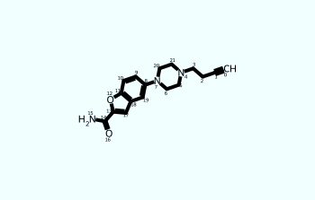 C#CCCN1CCN(c2ccc3oc(C(N)=O)cc3c2)CC1